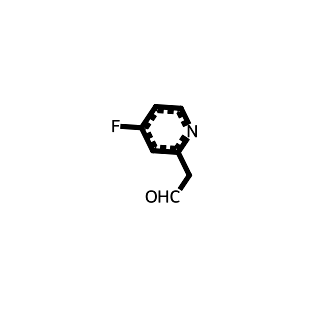 O=CCc1cc(F)ccn1